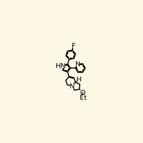 CCO[C@@H]1C[C@H]2C=C(c3c[nH]c(-c4ccc(F)cc4)c3-c3ccccn3)CCN2C1